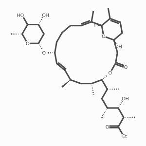 CCC(=O)[C@@H](C)[C@@H](O)[C@H](C)C[C@@H](C)[C@H]1OC(=O)C[C@@]2(O)CC=C(C)[C@H](O2)/C(C)=C/CCC[C@@H](O[C@H]2C[C@@H](O)C(O)[C@@H](C)O2)/C=C/[C@H](C)C[C@H]1C